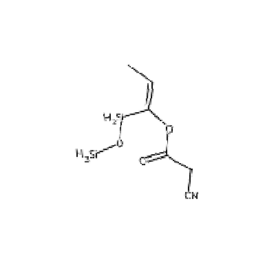 C/C=C(/OC(=O)CC#N)[SiH2]O[SiH3]